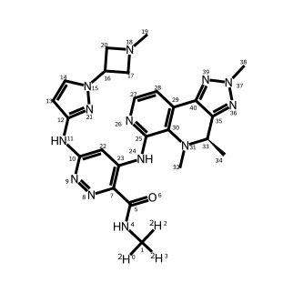 [2H]C([2H])([2H])NC(=O)c1nnc(Nc2ccn(C3CN(C)C3)n2)cc1Nc1nccc2c1N(C)[C@H](C)c1nn(C)nc1-2